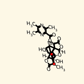 Cc1nc(C)c(C(=O)O[C@H]2C(=O)O[C@H]3O[C@]45C(=O)OC6C[C@@H](C(C)(C)C)C32[C@@]64[C@@H](O)[C@@H]2OC(=O)[C@@H](C)[C@@]25O)nc1C